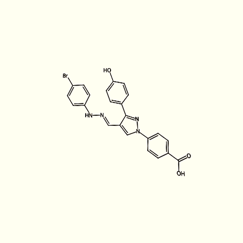 O=C(O)c1ccc(-n2cc(/C=N/Nc3ccc(Br)cc3)c(-c3ccc(O)cc3)n2)cc1